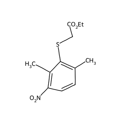 CCOC(=O)CSc1c(C)ccc([N+](=O)[O-])c1C